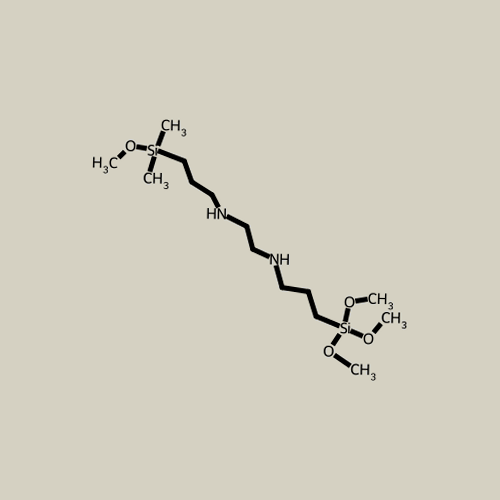 CO[Si](C)(C)CCCNCCNCCC[Si](OC)(OC)OC